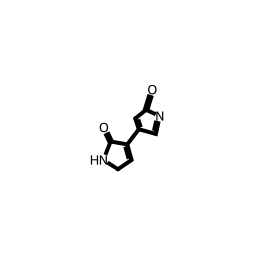 O=C1C=C(C2=CCNC2=O)C=N1